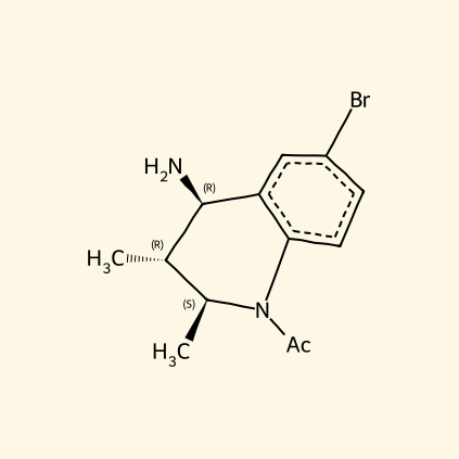 CC(=O)N1c2ccc(Br)cc2[C@H](N)[C@@H](C)[C@@H]1C